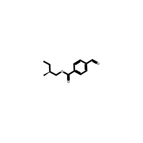 CC[C@H](C)COC(=O)c1ccc(C=O)cc1